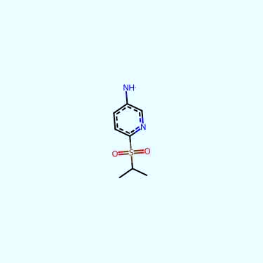 CC(C)S(=O)(=O)c1ccc([NH])cn1